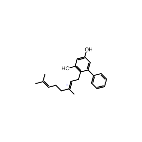 CC(C)=CCC/C(C)=C/Cc1c(O)cc(O)cc1-c1ccccc1